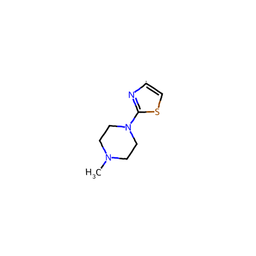 CN1CCN(c2n[c]cs2)CC1